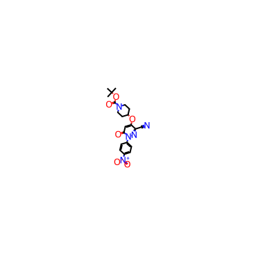 CC(C)(C)OC(=O)N1CCC(Oc2cc(=O)n(-c3ccc([N+](=O)[O-])cc3)nc2C#N)CC1